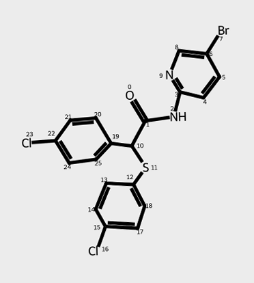 O=C(Nc1ccc(Br)cn1)C(Sc1ccc(Cl)cc1)c1ccc(Cl)cc1